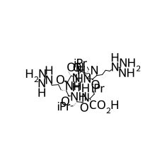 CC(C)C[C@H](NC(=O)[C@H](CC(C)C)NC(=O)[C@H](CCCNC(=N)N)NC(=O)[C@H](CO)NC(=O)[C@H](CC(C)C)NC(=O)[C@@H](N)CCCNC(=N)N)C(=O)O